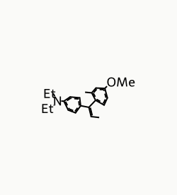 CC=C(c1ccc(N(CC)CC)cc1)c1ccc(OC)cc1C